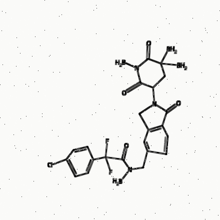 BN(Cc1ccc2c(c1)CN(C1CC(B)(B)C(=O)N(B)C1=O)C2=O)C(=O)C(F)(F)c1ccc(Cl)cc1